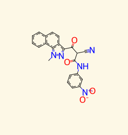 Cn1nc(C(=O)C(C#N)C(=O)Nc2cccc([N+](=O)[O-])c2)c2ccc3ccccc3c21